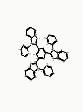 c1ccc(-n2c(-c3cc(-c4nc5ccccc5n4-c4ccccn4)cc(-c4nc5ccccc5n4-c4ccccn4)c3)nc3ccccc32)nc1